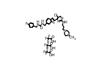 CN1CCN(CCCNc2ncc(Cl)c(-c3cc4ccc(CNC(=O)NCc5ccc(F)cc5)cc4s3)n2)CC1.O=C(O)C(F)(F)F.O=C(O)C(F)(F)F.O=C(O)C(F)(F)F